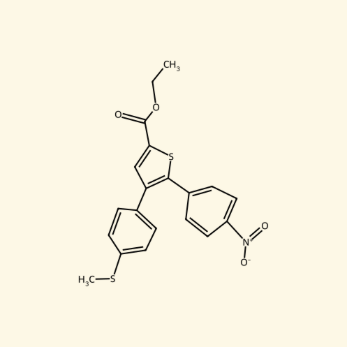 CCOC(=O)c1cc(-c2ccc(SC)cc2)c(-c2ccc([N+](=O)[O-])cc2)s1